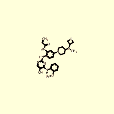 C=CC(=O)Nc1cc(N2CCC(N(C)C3COC3)CC2)ccc1Nc1ncc(C#N)c(Nc2ccccc2OC(C)C)n1